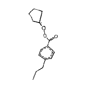 CCCc1ccc(C(=O)OO[C]2CCCC2)cc1